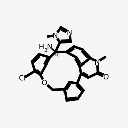 Cn1cncc1[C@@]1(N)c2ccc(Cl)c(c2)OCc2cccc(c2)-c2cc(=O)n(C)c3ccc1cc23